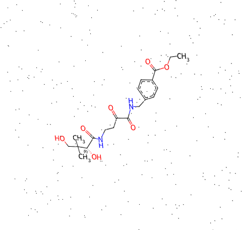 CCOC(=O)c1ccc(CNC(=O)C(=O)CCNC(=O)[C@H](O)C(C)(C)CO)cc1